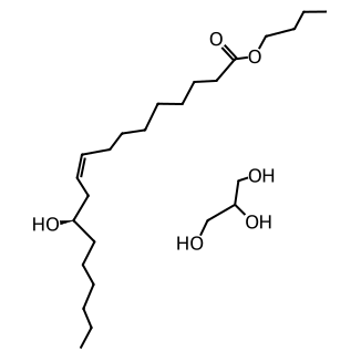 CCCCCC[C@@H](O)C/C=C\CCCCCCCC(=O)OCCCC.OCC(O)CO